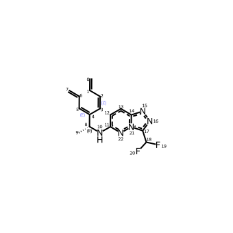 C=C/C=C\C(=C/C=C)[C@@H](C)Nc1ccc2nnc(C(F)F)n2n1